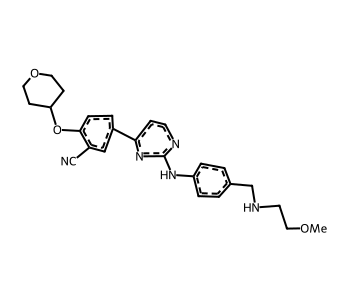 COCCNCc1ccc(Nc2nccc(-c3ccc(OC4CCOCC4)c(C#N)c3)n2)cc1